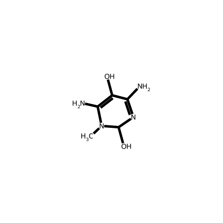 CN1C(N)=C(O)C(N)=NC1O